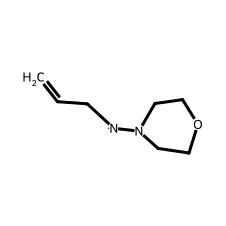 C=CC[N]N1CCOCC1